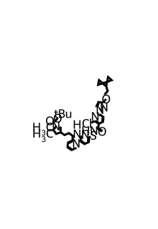 CC(C)(C)OC(=O)N1CC(CCC(Nc2cccc(SNC(=O)c3ccc(-n4ccc(OCCC5C6(CC6)C56CC6)n4)nc3Cl)n2)c2ccccn2)CC1(C)C